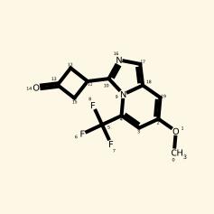 COc1cc(C(F)(F)F)n2c(C3CC(=O)C3)ncc2c1